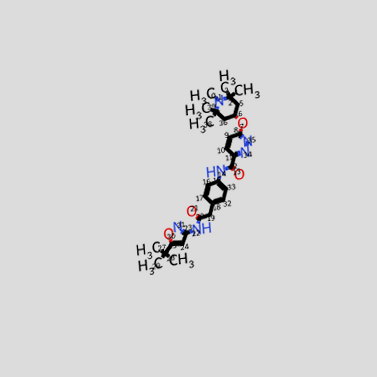 CN1C(C)(C)CC(Oc2ccc(C(=O)Nc3ccc(CC(=O)Nc4cc(C(C)(C)C)on4)cc3)nn2)CC1(C)C